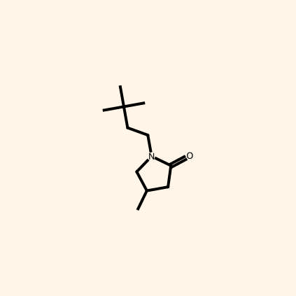 CC1CC(=O)N(CCC(C)(C)C)C1